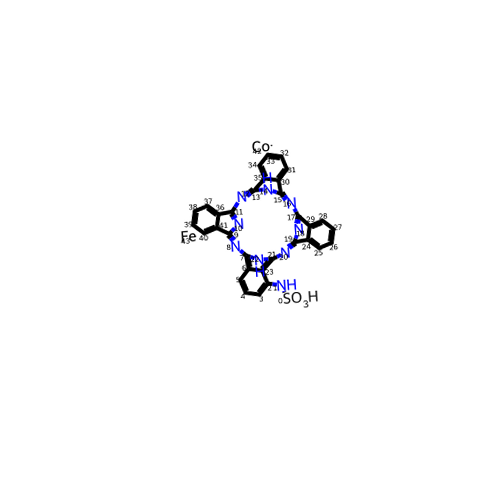 O=S(=O)(O)Nc1cccc2c3nc4nc(nc5[nH]c(nc6nc(nc([nH]3)c12)-c1ccccc1-6)c1ccccc51)-c1ccccc1-4.[Co].[Fe]